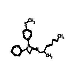 CC=CC=CC(C)CN=C1C[C@@H](c2ccccc2)N1c1ccc(SC)cc1